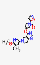 COc1ncc(N2CCc3ncnc(O[C@H]4CC[N+](C=O)(c5ccno5)C4)c3C2)cc1C